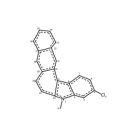 Cn1c2cc(Cl)ccc2c2c3cc4ccccc4cc3ccc21